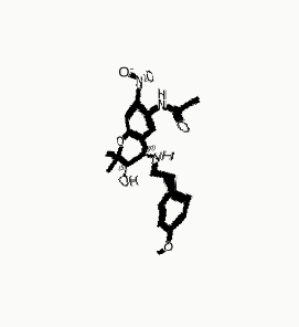 COc1ccc(CCN[C@@H]2c3cc(NC(C)=O)c([N+](=O)[O-])cc3OC(C)(C)[C@H]2O)cc1